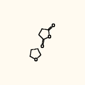 C1CCOC1.O=C1CCC(=O)O1